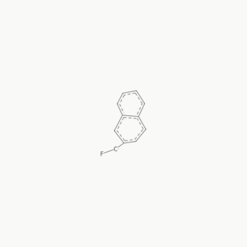 F[CH]c1ccc2ccccc2c1